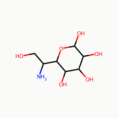 NC(CO)C1OC(O)C(O)C(O)C1O